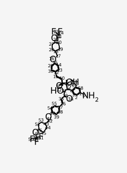 Nc1ccc(C(C(O)C(=O)/C=C/c2ccc(OCC3CCC(OC(F)(F)F)CC3)cc2)C(O)C(=O)/C=C/c2ccc(OCC3CCC(OC(F)(F)F)CC3)cc2)c(N)c1